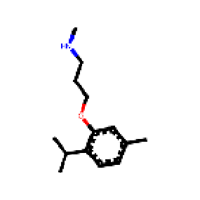 CNCCCOc1cc(C)ccc1C(C)C